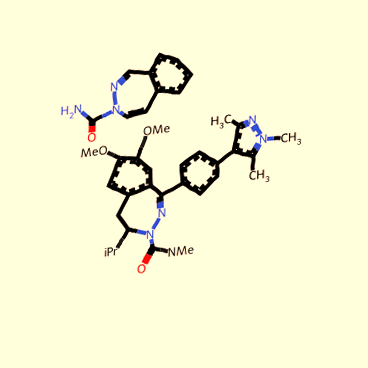 CNC(=O)N1N=C(c2ccc(-c3c(C)nn(C)c3C)cc2)c2cc(OC)c(OC)cc2CC1C(C)C.NC(=O)N1C=Cc2ccccc2C=N1